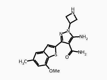 COc1cc(C)cc2cc(-c3nn(C4CNC4)c(N)c3C(N)=O)sc12